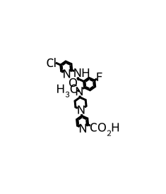 CN(c1ccc(F)cc1C(=O)Nc1ccc(Cl)cn1)C1CCN(c2ccnc(C(=O)O)c2)CC1